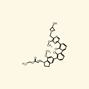 CCOC(=O)CN[C@@H]1CCc2cc(-c3cccc(-c4cccc(-c5cnc(CN6CC(O)C6)c(OC)n5)c4Cl)c3Cl)cc(OC)c21